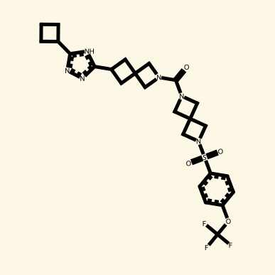 O=C(N1CC2(CC(c3nnc(C4CCC4)[nH]3)C2)C1)N1CC2(C1)CN(S(=O)(=O)c1ccc(OC(F)(F)F)cc1)C2